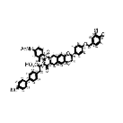 CC(=O)Nc1ccc(S(=O)(=O)N2Cc3cc4c(cc3C[C@H]2C(=O)NC(Cc2ccc(-c3ccc(C#N)cc3)cc2)C(=O)O)OC[C@H](c2ccc(OCc3ccc(Cl)c(Cl)c3)cc2)O4)c(C)c1